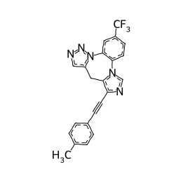 Cc1ccc(C#Cc2ncn3c2Cc2cnnn2-c2cc(C(F)(F)F)ccc2-3)cc1